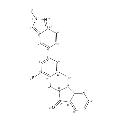 Cn1cc2cc(-c3cc(F)c(CN4Cc5ncccc5C4=O)c(F)c3)ccc2n1